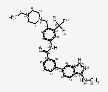 CCN1CCN(Cc2ccc(NC(=O)c3cccc(-c4ccc5c(NC)n[nH]c5c4)c3)cc2C(F)(F)F)CC1